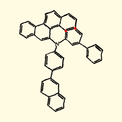 c1ccc(-c2cccc(N(c3ccc(-c4ccc5ccccc5c4)cc3)c3cc4ccccc4c4ccc5ccccc5c34)c2)cc1